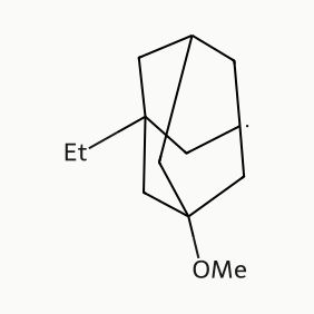 CCC12C[C]3CC(C1)CC(OC)(C3)C2